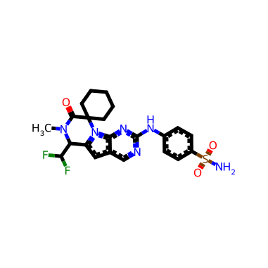 CN1C(=O)C2(CCCCC2)n2c(cc3cnc(Nc4ccc(S(N)(=O)=O)cc4)nc32)C1C(F)F